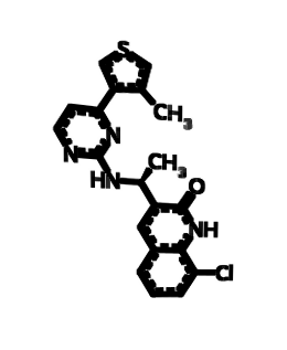 Cc1cscc1-c1ccnc(N[C@@H](C)c2cc3cccc(Cl)c3[nH]c2=O)n1